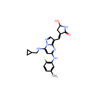 Cc1ccc(F)c(Nc2cc(NCC3CC3)n3ncc(/C=C4\CC(O)NC4=O)c3n2)c1